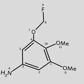 COc1cc(N)cc(OCF)c1OC